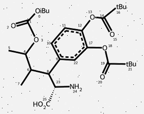 CC(C)COC(=O)OC(C)C(C)C(c1ccc(OC(=O)C(C)(C)C)c(OC(=O)C(C)(C)C)c1)[C@H](N)C(=O)O